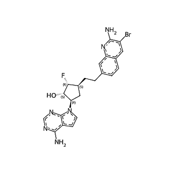 Nc1nc2cc(CC[C@H]3C[C@@H](n4ccc5c(N)ncnc54)[C@H](O)[C@@H]3F)ccc2cc1Br